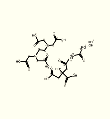 Cl.Cl.Cl.O=C(O)CC(O)(CC(=O)O)C(=O)O.O=C(O)CN(CCN(CC(=O)O)CC(=O)O)CC(=O)O.O=C(O)O